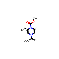 CCC(C(=O)[O-])N1C[C@@H](C)N(C(=O)OC(C)(C)C)[C@H](C)C1.[Li+]